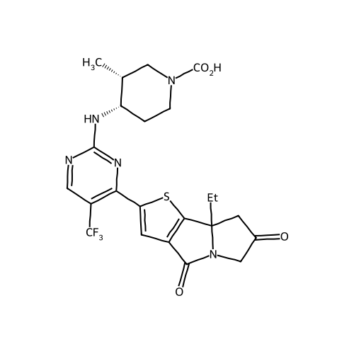 CCC12CC(=O)CN1C(=O)c1cc(-c3nc(N[C@H]4CCN(C(=O)O)C[C@H]4C)ncc3C(F)(F)F)sc12